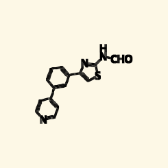 O=CNc1nc(-c2cccc(-c3ccncc3)c2)cs1